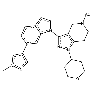 CC(=O)N1CCc2c(c(-n3ccc4ccc(-c5cnn(C)c5)cc43)nn2C2CCOCC2)C1